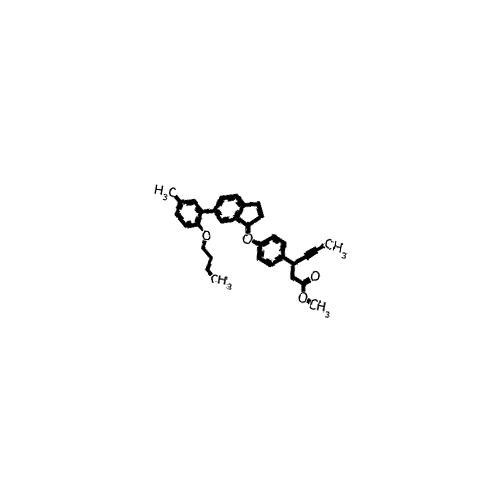 CC#CC(CC(=O)OC)c1ccc(OC2CCc3ccc(-c4cc(C)ccc4OCCCC)cc32)cc1